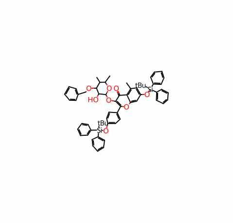 Cc1cc(O[Si](c2ccccc2)(c2ccccc2)C(C)(C)C)cc2oc(-c3ccc(O[Si](c4ccccc4)(c4ccccc4)C(C)(C)C)cc3)c(OC3OC(C)C(C)C(OCc4ccccc4)C3O)c(=O)c12